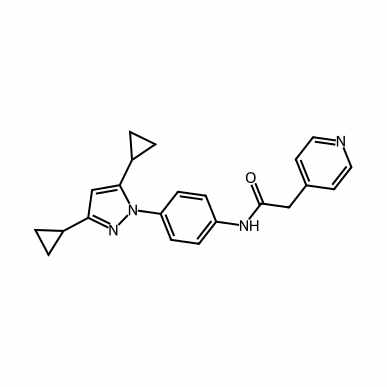 O=C(Cc1ccncc1)Nc1ccc(-n2nc(C3CC3)cc2C2CC2)cc1